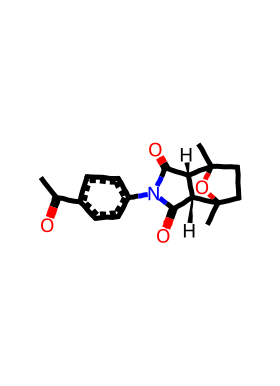 CC(=O)c1ccc(N2C(=O)[C@@H]3[C@H](C2=O)C2(C)CCC3(C)O2)cc1